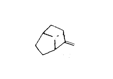 CCOC(=O)[C@@]12CC[C@@H](CCC1=O)N2C